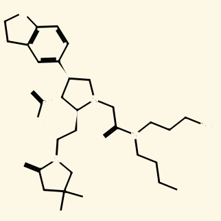 CCCCN(CCCN)C(=O)CN1C[C@H](c2ccc3c(c2)CCO3)[C@@H](C(=O)O)[C@@H]1CCN1CC(C)(C)CC1=O